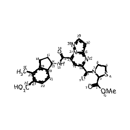 COC(=O)C1SCCN1C(=O)c1cc(C(=O)N[C@H]2CCc3c2ccc(C(=O)O)c3C)n2nccc2n1